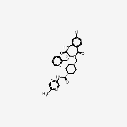 Cc1cnc(NC(=O)[C@H]2CC[C@H](CN3C(=O)c4ccc(Cl)cc4NC(=O)[C@H]3Cc3ccccn3)CC2)cn1